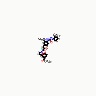 COC(=O)c1ccc(OC(F)(C(=O)Cc2ccc(NC(=O)Nc3ccccc3OC)c(OC)c2)N2CCCC2)cc1